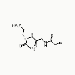 NC(=O)[C@H](CCC(=O)O)NC(=O)CNC(=O)CBr